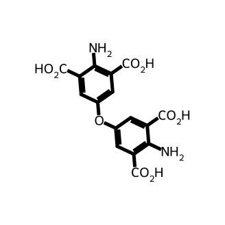 Nc1c(C(=O)O)cc(Oc2cc(C(=O)O)c(N)c(C(=O)O)c2)cc1C(=O)O